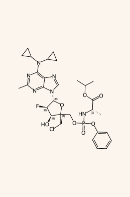 Cc1nc(N(C2CC2)C2CC2)c2ncn([C@@H]3O[C@](CCl)(COP(=O)(N[C@@H](C)C(=O)OC(C)C)Oc4ccccc4)[C@@H](O)[C@H]3F)c2n1